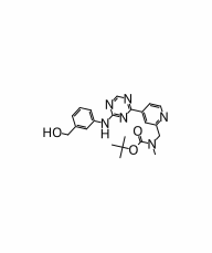 CN(Cc1cc(-c2ncnc(Nc3cccc(CO)c3)n2)ccn1)C(=O)OC(C)(C)C